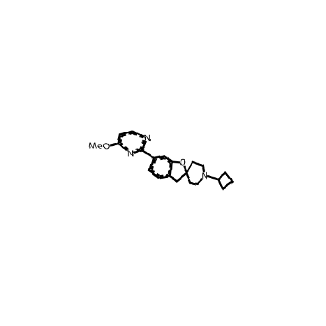 COc1ccnc(-c2ccc3c(c2)OC2(CCN(C4CCC4)CC2)C3)n1